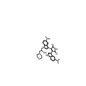 CN(C)c1ccc2[nH]cc(C3=C(c4cn(CC(O)CN5CCOCC5)c5ccc(N(C)C)cc45)C(=O)NC3=O)c2c1